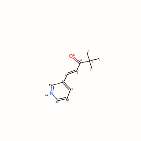 CC(C)(C)C(=O)C=Cc1cccnc1